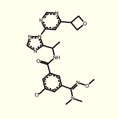 CON=C(c1cc(Cl)cc(C(=O)NC(C)c2ncnn2-c2cc(C3COC3)ncn2)c1)N(C)C